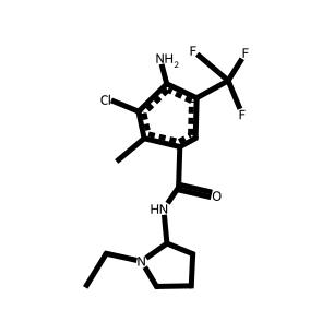 CCN1CCCC1NC(=O)c1cc(C(F)(F)F)c(N)c(Cl)c1C